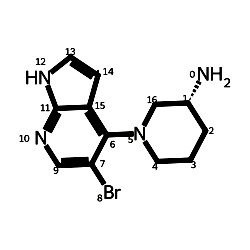 N[C@@H]1CCCN(c2c(Br)cnc3[nH]c[c]c23)C1